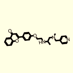 CC(CN(C)Cc1ccncc1)NCCOc1ccc(-c2cc(=O)c3ccccc3o2)cc1